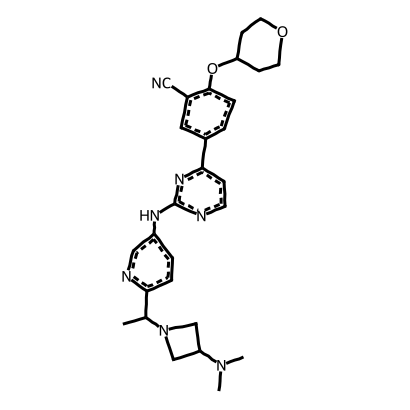 CC(c1ccc(Nc2nccc(-c3ccc(OC4CCOCC4)c(C#N)c3)n2)cn1)N1CC(N(C)C)C1